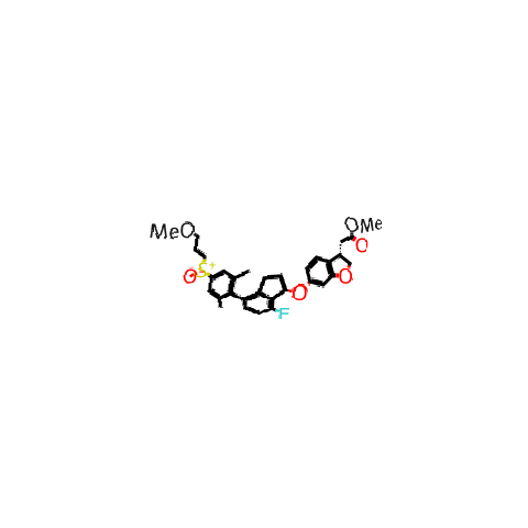 COCCC[S+]([O-])c1cc(C)c(-c2ccc(F)c3c2CC[C@H]3Oc2ccc3c(c2)OC[C@H]3CC(=O)OC)c(C)c1